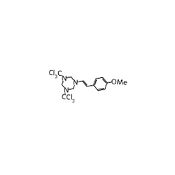 COc1ccc(C=CN2CN(C(Cl)(Cl)Cl)CN(C(Cl)(Cl)Cl)C2)cc1